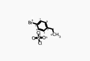 CCc1ccc(Br)cc1.O=S(=O)(Cl)Cl